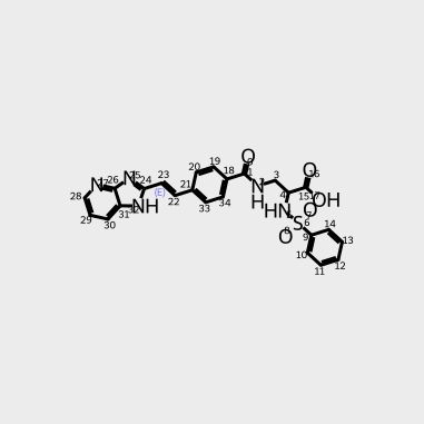 O=C(NCC(NS(=O)(=O)c1ccccc1)C(=O)O)c1ccc(/C=C/c2nc3ncccc3[nH]2)cc1